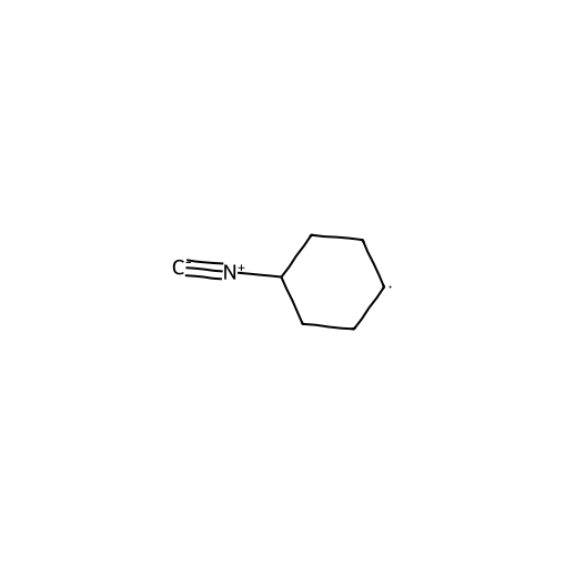 [C-]#[N+]C1CC[CH]CC1